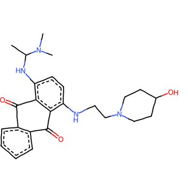 CC(Nc1ccc(NCCN2CCC(O)CC2)c2c1C(=O)c1ccccc1C2=O)N(C)C